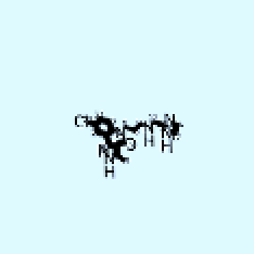 Cc1[nH]nc2c1c(=O)n(CCCNCc1ncc[nH]1)c1ccc(Cl)cc21